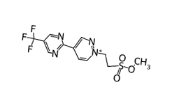 COS(=O)(=O)CC[n+]1ccc(-c2ncc(C(F)(F)F)cn2)cn1